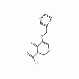 O=C1C(OCc2ccccc2)=CCCC1C(=O)C(F)(F)F